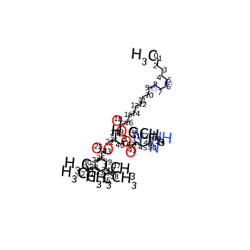 CCCCC/C=C\C/C=C\CCCCCCCC(=O)OCC(COC(=O)c1cc(C(C)(C)C)cc(C(C)(C)C)c1)COC(=O)C(Cc1c[nH]cn1)N(C)C